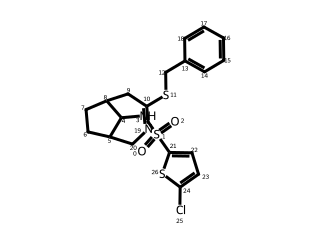 O=S(=O)(NC1C2CCC1CC(SCc1ccccc1)=NC2)c1ccc(Cl)s1